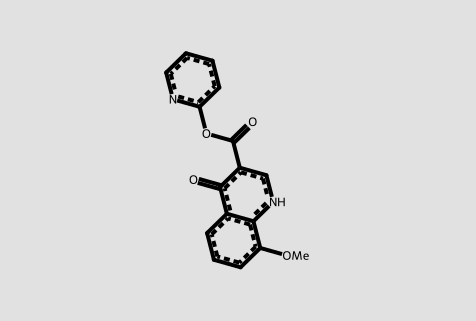 COc1cccc2c(=O)c(C(=O)Oc3ccccn3)c[nH]c12